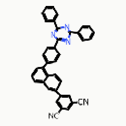 N#Cc1cc(C#N)cc(-c2ccc3c(-c4ccc(-c5nc(-c6ccccc6)nc(-c6ccccc6)n5)cc4)cccc3c2)c1